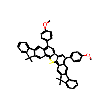 COc1ccc(-c2cc3c4cc(-c5ccc(OC)cc5)c5cc6c(cc5c4sc3c3cc4c(cc23)-c2ccccc2C4(C)C)C(C)(C)c2ccccc2-6)cc1